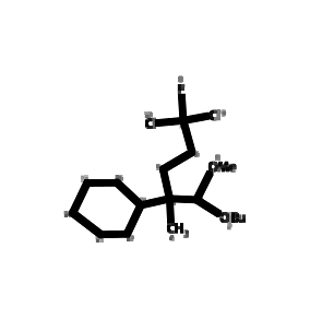 COC(OCC(C)C)C(C)(CCC(F)(Cl)Cl)C1CCCCC1